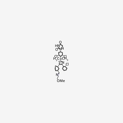 COCC/N=C/c1cccc(-c2sc(C(C)(C)c3c(Cl)cc(-n4ncc(=O)[nH]c4=O)cc3Cl)nc2-c2ccccc2Cl)c1